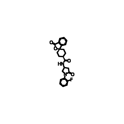 O=C1O[C@]2(CC[C@H](C(=O)NC3CC(=O)N(c4ccccc4F)C3)CC2)c2ccccc21